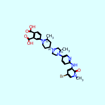 C[C@H]1C[C@H](N2CCN(c3ccc(Nc4cc(Br)cn(C)c4=O)nc3)[C@@H](C)C2)CCN1c1ccc(C(=O)O)c(C(=O)O)c1